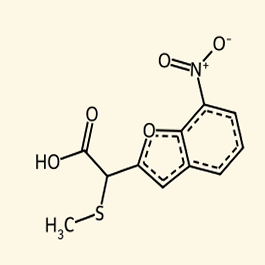 CSC(C(=O)O)c1cc2cccc([N+](=O)[O-])c2o1